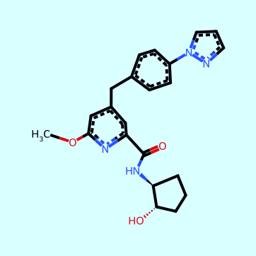 COc1cc(Cc2ccc(-n3cccn3)cc2)cc(C(=O)N[C@H]2CCC[C@@H]2O)n1